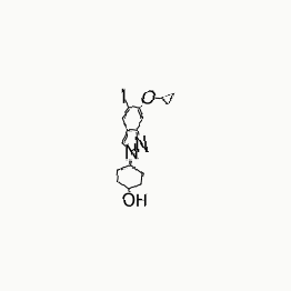 O[C@H]1CC[C@@H](n2cc3cc(I)c(OC4CC4)cc3n2)CC1